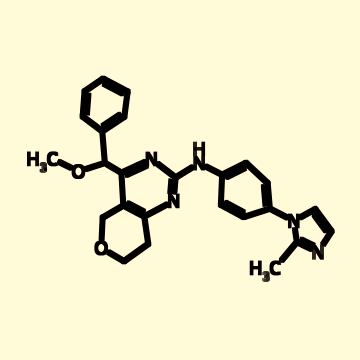 COC(c1ccccc1)c1nc(Nc2ccc(-n3ccnc3C)cc2)nc2c1COCC2